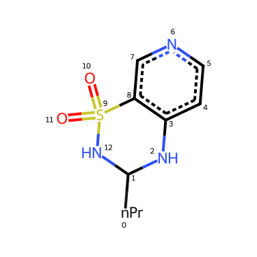 CCCC1Nc2ccncc2S(=O)(=O)N1